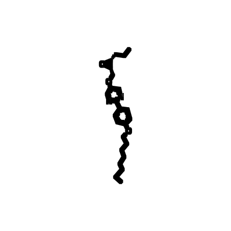 CCCCCCCCOc1ccc(-c2ncc(OC[C@H]3O[C@@H]3CCC)cn2)cc1